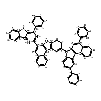 C1=C(n2c3ccc(-c4ccccc4)cc3c3c4ccccc4c(-c4ccccc4)cc32)CCc2oc3c(-c4nc(-c5ccccc5)c5sc6ccccc6c5n4)cc4ccccc4c3c21